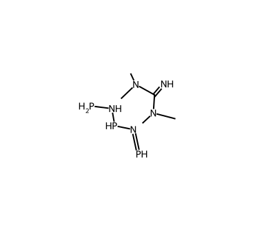 CN(C)C(=N)N(C)C.P=NPNP